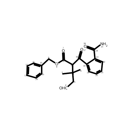 CC(C)(CC=O)C(C(=O)OCc1ccccc1)C(=O)c1ccccc1C(N)=O